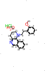 COc1ccccc1CCN1CCCc2ncc3ccccc3c21.Cl.O